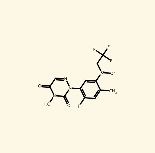 Cc1cc(F)c(-n2ncc(=O)n(C)c2=O)cc1[S+]([O-])CC(F)(F)F